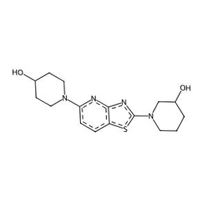 OC1CCN(c2ccc3sc(N4CCCC(O)C4)nc3n2)CC1